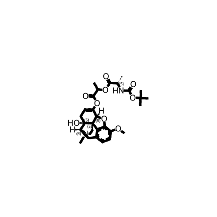 COc1ccc2c3c1O[C@H]1C(OC(=O)C(C)OC(=O)[C@H](C)NC(=O)OC(C)(C)C)=CC[C@@]4(O)[C@@H](C2)N(C)CC[C@]314